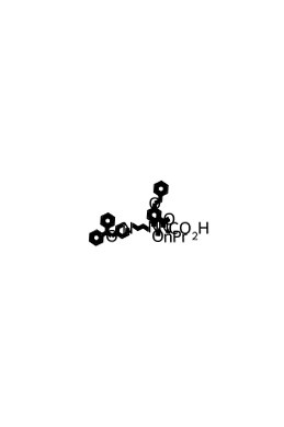 CCCC(C(=O)O)n1c(=O)c2cc(OCc3ccccc3)ccc2n(CCCCN2CCC(OC(c3ccccc3)c3ccccc3)CC2)c1=O